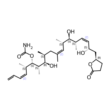 C=C/C=C\[C@H](C)[C@H](OC(N)=O)[C@@H](C)[C@H](O)[C@@H](C)C/C(C)=C\[C@H](C)[C@@H](O)[C@@H](C)/C=C\[C@@H](O)C[C@H]1CCC(=O)O1